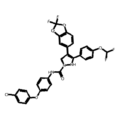 O=C(Nc1ccc(Oc2ccc(Cl)cc2)cc1)N1CC(c2ccc3c(c2)OC(F)(F)O3)=C(c2ccc(OC(F)F)cc2)N1